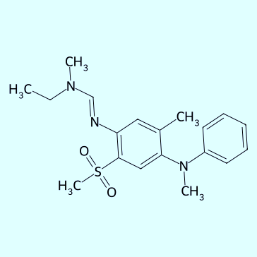 CCN(C)C=Nc1cc(C)c(N(C)c2ccccc2)cc1S(C)(=O)=O